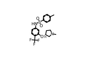 Cc1ccc(S(=O)(=O)Nc2ccc(C(F)(F)F)c(O[C@@H]3CCN(C)C3)c2)cc1